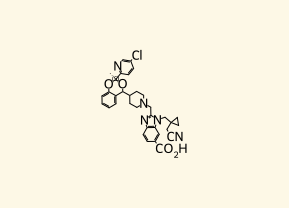 C[C@@]1(c2ccc(Cl)cn2)Oc2ccccc2C(C2CCN(Cc3nc4ccc(C(=O)O)cc4n3CC3(CC#N)CC3)CC2)O1